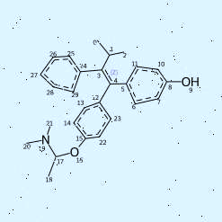 CC(C)/C(=C(\c1ccc(O)cc1)c1ccc(OC(C)N(C)C)cc1)c1ccccc1